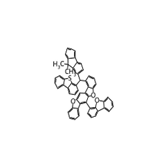 CC1(C)c2ccccc2-c2ccc(C(c3cccc4c3sc3ccccc34)c3cccc4oc5c(-c6cccc7c6oc6ccccc67)c6c(cc5c34)oc3ccccc36)cc21